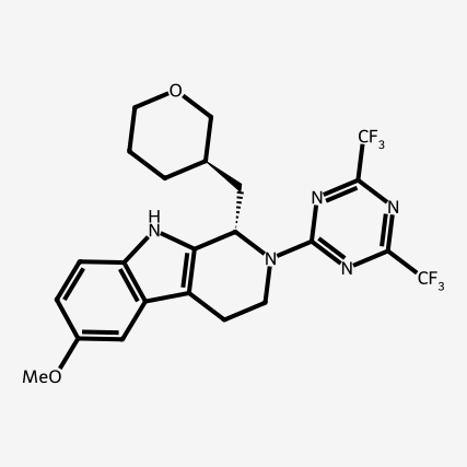 COc1ccc2[nH]c3c(c2c1)CCN(c1nc(C(F)(F)F)nc(C(F)(F)F)n1)[C@H]3C[C@H]1CCCOC1